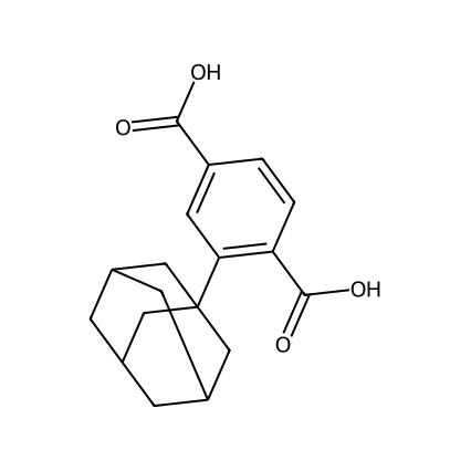 O=C(O)c1ccc(C(=O)O)c(C23CC4CC(CC(C4)C2)C3)c1